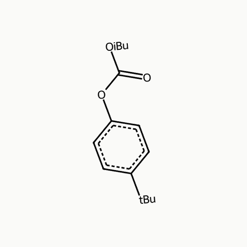 CC(C)COC(=O)Oc1ccc(C(C)(C)C)cc1